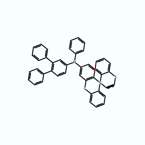 c1ccc(-c2ccc(N(c3ccccc3)c3ccc4c(c3)Sc3ccccc3[Si]43c4ccccc4Sc4ccccc43)cc2-c2ccccc2)cc1